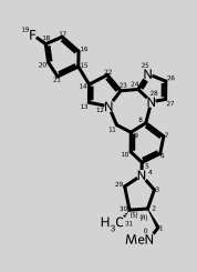 CNC[C@@H]1CN(c2ccc3c(c2)Cn2cc(-c4ccc(F)cc4)cc2-c2nccn2-3)C[C@H]1C